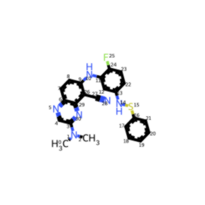 CN(C)c1cnc2ccc(Nc3cc(NSc4ccccc4)ccc3F)c(C#N)c2n1